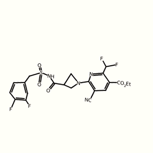 CCOC(=O)c1cc(C#N)c(N2CC(C(=O)NS(=O)(=O)Cc3ccc(F)c(F)c3)C2)nc1C(F)F